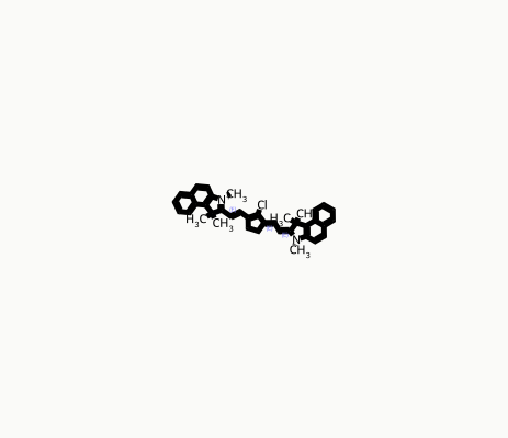 CN1/C(=C/C=C2\CCC(/C=C/C3=[N+](C)c4ccc5ccccc5c4C3(C)C)=C2Cl)C(C)(C)c2c1ccc1ccccc21